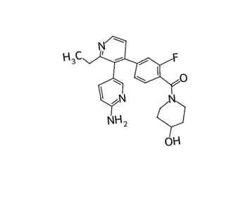 CCc1nccc(-c2ccc(C(=O)N3CCC(O)CC3)c(F)c2)c1-c1ccc(N)nc1